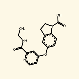 CCNC(=O)c1cc(Oc2ccc3c(c2)CCN3C(=O)O)ccn1